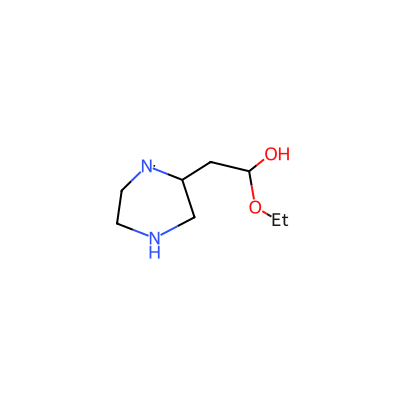 CCOC(O)CC1CNCC[N]1